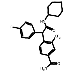 NC(=O)c1ccc(C(C(=O)NC2CCCCC2)c2ccc(F)cc2)c(C(F)(F)F)c1